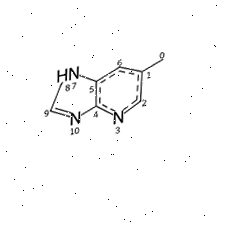 Cc1cnc2c(c1)NCC=N2